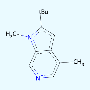 Cc1cncc2c1cc(C(C)(C)C)n2C